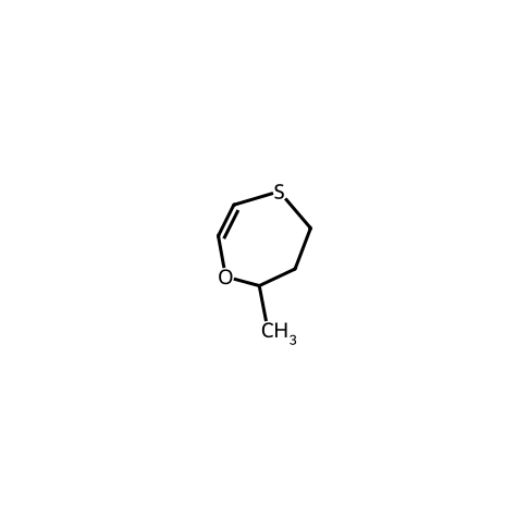 CC1CCSC=CO1